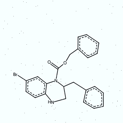 O=C(OCc1ccccc1)N1c2cc(Br)ccc2NCC1Cc1ccccc1